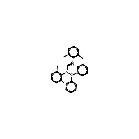 Cc1cccc(C)c1/N=C/N(c1c(C)cccc1C)P(c1ccccc1)c1ccccc1